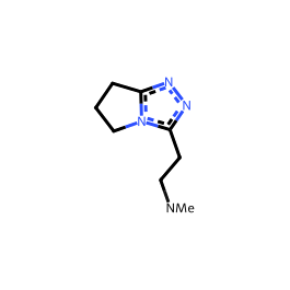 CNCCc1nnc2n1CCC2